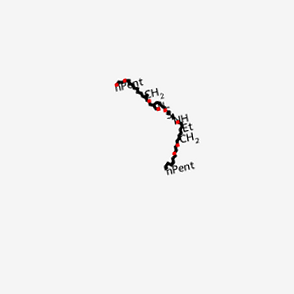 C=C(CCCCCCC/C=C\C/C=C\CCCCC)CCCC(CC)CCNCCSSCCN1CCC(CCCC(=C)CCCCCCC/C=C\C/C=C\CCCCC)CC1